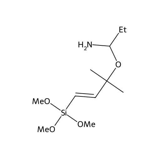 CCC(N)OC(C)(C)C=C[Si](OC)(OC)OC